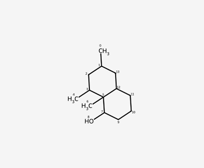 CC1CC(C)C2(C)C(O)CCCC2C1